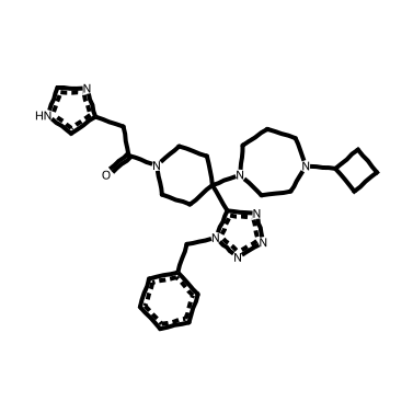 O=C(Cc1c[nH]cn1)N1CCC(c2nnnn2Cc2ccccc2)(N2CCCN(C3CCC3)CC2)CC1